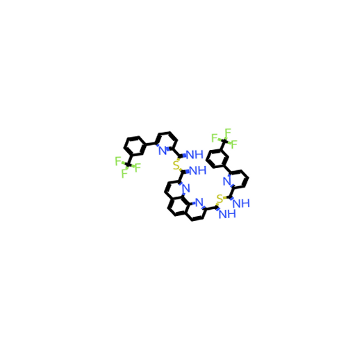 N=C(SC(=N)c1ccc2ccc3ccc(C(=N)SC(=N)c4cccc(-c5cccc(C(F)(F)F)c5)n4)nc3c2n1)c1cccc(-c2cccc(C(F)(F)F)c2)n1